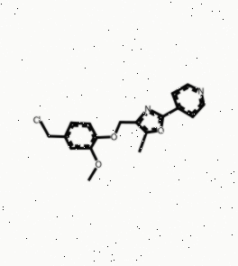 COc1cc(CCl)ccc1OCc1nc(-c2ccncc2)oc1C